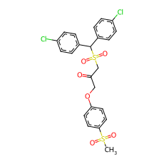 CS(=O)(=O)c1ccc(OCC(=O)CS(=O)(=O)C(c2ccc(Cl)cc2)c2ccc(Cl)cc2)cc1